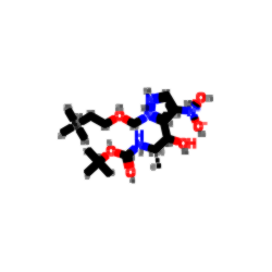 C[C@H](NC(=O)OC(C)(C)C)C(O)c1c([N+](=O)[O-])cnn1COCC[Si](C)(C)C